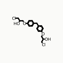 OC(CCl)COc1ccc(Cc2ccc(OC[C@@H](O)CCl)cc2)cc1